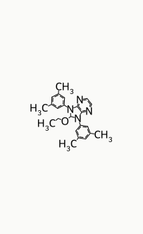 CCOC1N(c2cc(C)cc(C)c2)c2nccnc2N1c1cc(C)cc(C)c1